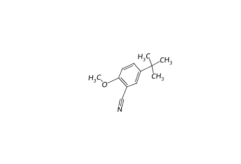 COc1ccc(C(C)(C)C)cc1C#N